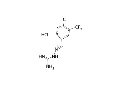 Cl.N=C(N)N/N=C/c1ccc(Cl)c(C(F)(F)F)c1